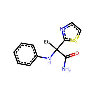 CCC(Nc1ccccc1)(C(N)=O)c1nccs1